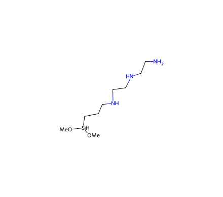 CO[SiH](CCCNCCNCCN)OC